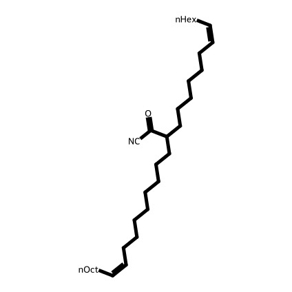 CCCCCC/C=C\CCCCCCC(CCCCCCCC/C=C\CCCCCCCC)C(=O)C#N